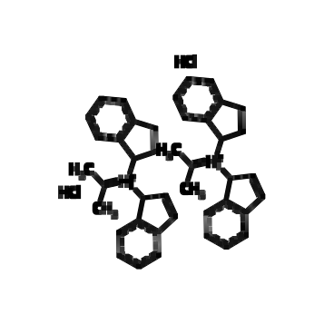 C[C](C)=[Hf]([CH]1C=Cc2ccccc21)[CH]1C=Cc2ccccc21.C[C](C)=[Hf]([CH]1C=Cc2ccccc21)[CH]1C=Cc2ccccc21.Cl.Cl